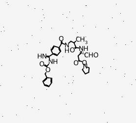 CC(CNC(=O)c1ccc(C(=N)NC(=O)OCc2ccccc2)cc1)C(=O)N[C@H](C=O)CC(=O)ON1CCCC1